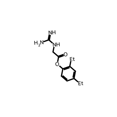 CCc1ccc(OC(=O)CNC(=N)N)c(CC)c1